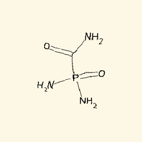 NC(=O)P(N)(N)=O